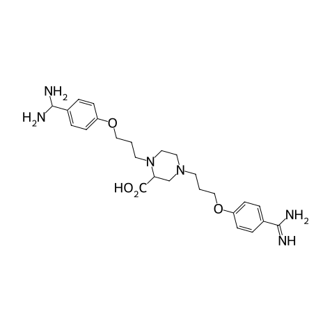 N=C(N)c1ccc(OCCCN2CCN(CCCOc3ccc(C(N)N)cc3)C(C(=O)O)C2)cc1